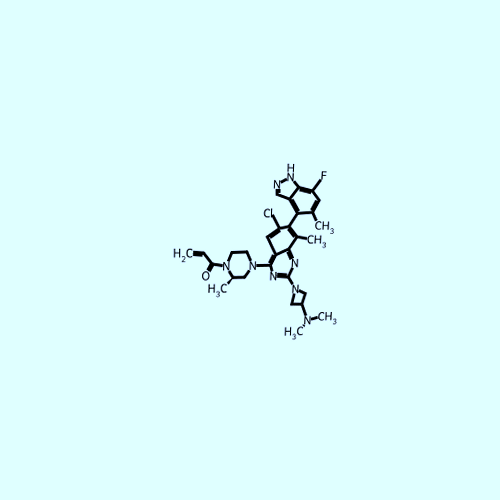 C=CC(=O)N1CCN(c2nc(N3CC(N(C)C)C3)nc3c(C)c(-c4c(C)cc(F)c5[nH]ncc45)c(Cl)cc23)C[C@H]1C